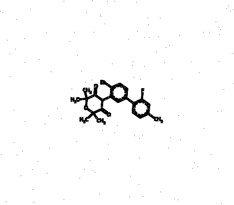 CCc1ccc(-c2ccc(C)cc2F)cc1C1C(=O)C(C)(C)OC(C)(C)C1=O